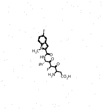 CC(C)[C@H](NC(=O)c1cc2cc(F)ccc2n1C)C(=O)C(F)C(=O)C(N)CC(=O)O